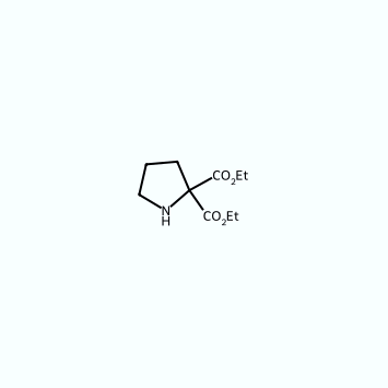 CCOC(=O)C1(C(=O)OCC)CCCN1